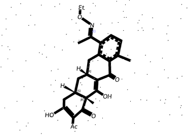 CCO/N=C(\C)c1ccc(C)c2c1C[C@H]1C[C@H]3CC(O)=C(C(C)=O)C(=O)[C@@]3(C)C(O)=C1C2=O